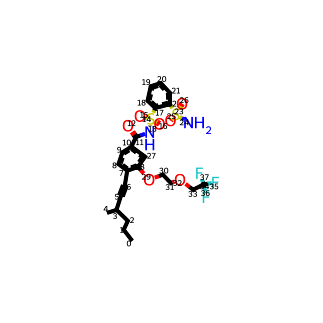 CCCC(C)C#Cc1ccc(C(=O)NS(=O)(=O)c2ccccc2S(N)(=O)=O)cc1OCCOCC(F)(F)F